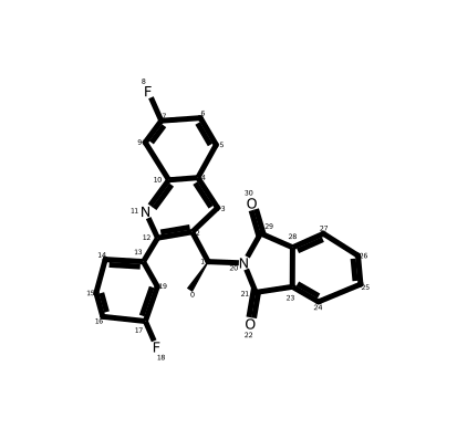 C[C@@H](c1cc2ccc(F)cc2nc1-c1cccc(F)c1)N1C(=O)c2ccccc2C1=O